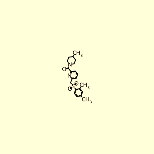 Cc1ccc(S(=O)(=O)Cc2cccc(C(=O)N3CCC(C)CC3)n2)c(C)c1